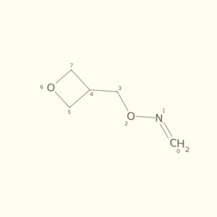 C=NOCC1COC1